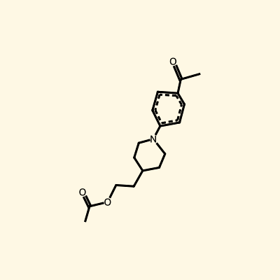 CC(=O)OCCC1CCN(c2ccc(C(C)=O)cc2)CC1